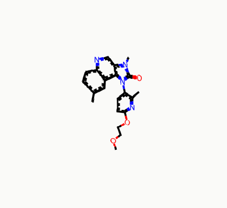 COCCOc1ccc(-n2c(=O)n(C)c3cnc4ccc(C)cc4c32)c(C)n1